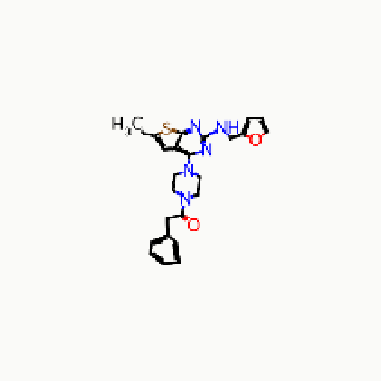 CCc1cc2c(N3CCN(C(=O)Cc4ccccc4)CC3)nc(NCc3ccco3)nc2s1